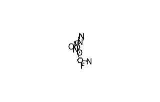 CN1CCN2c3cc(OCc4ccc(F)c(C#N)c4)nc(=O)n3CC2C1